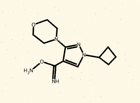 N=C(ON)c1cn(C2CCC2)nc1N1CCOCC1